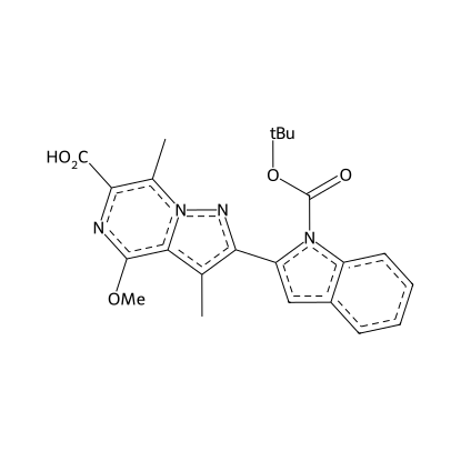 COc1nc(C(=O)O)c(C)n2nc(-c3cc4ccccc4n3C(=O)OC(C)(C)C)c(C)c12